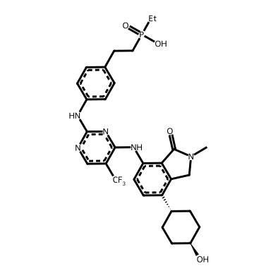 CCP(=O)(O)CCc1ccc(Nc2ncc(C(F)(F)F)c(Nc3ccc([C@H]4CC[C@H](O)CC4)c4c3C(=O)N(C)C4)n2)cc1